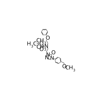 COCc1ccc(-n2cnn(CCN(CCOc3ccccc3)C(=O)OC(C)(C)C)c2=O)cc1